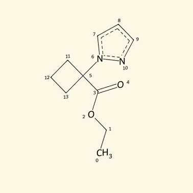 CCOC(=O)C1(n2cccn2)CCC1